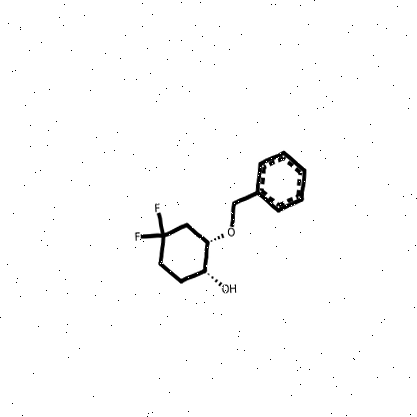 O[C@@H]1CCC(F)(F)C[C@@H]1OCc1ccccc1